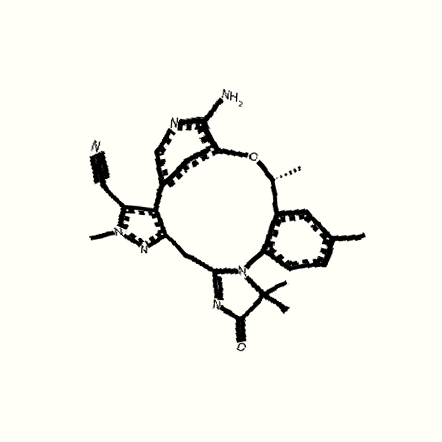 Cc1ccc2c(c1)[C@@H](C)Oc1cc(cnc1N)-c1c(nn(C)c1C#N)CC1=NC(=O)C(C)(C)N12